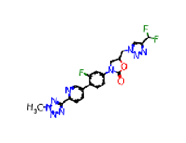 Cn1nnc(-c2ccc(-c3ccc(N4CC(Cn5cc(C(F)F)nn5)OC4=O)cc3F)cn2)n1